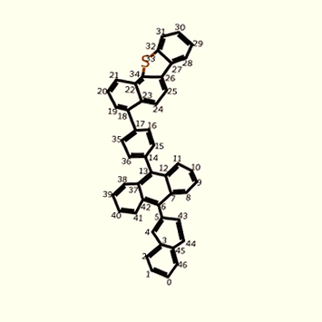 c1ccc2cc(-c3c4ccccc4c(-c4ccc(-c5cccc6c5ccc5c7ccccc7sc65)cc4)c4ccccc34)ccc2c1